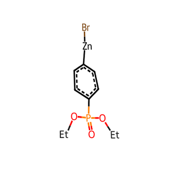 CCOP(=O)(OCC)c1cc[c]([Zn][Br])cc1